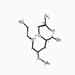 CCCCOC(COCCO)CC(CO)OCC(C)O